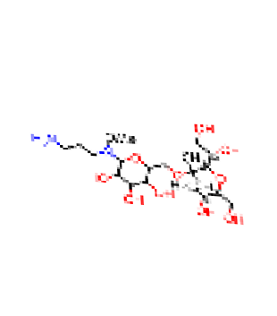 CON(CCCN)C1OC(COC(C)(C)C(OC(CO)[C@H](C)O)[C@@H](O)CO)C(O)C(O)C1O